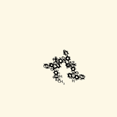 CC[C@H](N[C@H]1CC[C@@H](C(=O)N2Cc3cccnc3N(C[C@@H](N[C@H]3CC[C@H](C(=O)N4Cc5cccnc5N(C[C@@H](N[C@H]5CC[C@@H](C(=O)N6Cc7cccnc7Nc7ccc(N8CCOCC8)cc76)CC5)C(F)(F)F)c5ccc(N6CCOCC6)cc54)CC3)C(F)(F)F)c3ccc(N4CCOCC4)cc32)CC1)C(F)(F)F